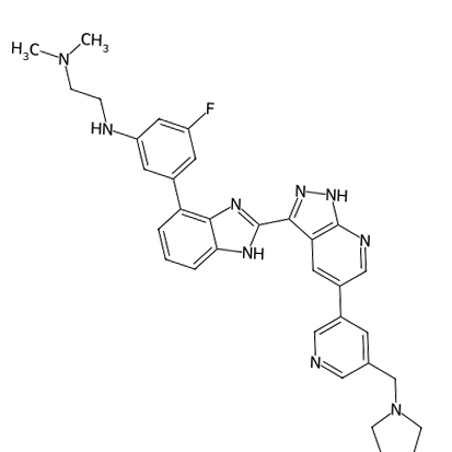 CN(C)CCNc1cc(F)cc(-c2cccc3[nH]c(-c4n[nH]c5ncc(-c6cncc(CN7CCCC7)c6)cc45)nc23)c1